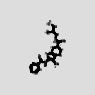 N#Cc1c(NC(=O)c2ccccc2)sc2c1CCN(C(=O)OCC(O)CO)C2